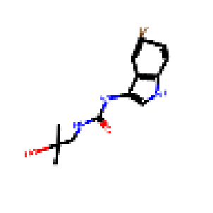 CC(C)(O)CNC(=O)Nc1c[nH]c2ccc(Br)cc12